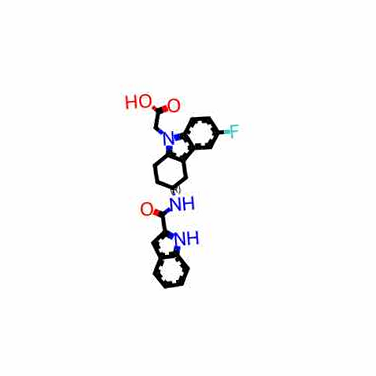 O=C(O)Cn1c2c(c3cc(F)ccc31)C[C@H](NC(=O)c1cc3ccccc3[nH]1)CC2